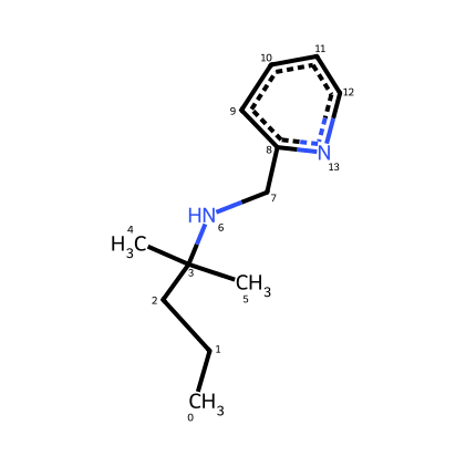 CCCC(C)(C)NCc1ccccn1